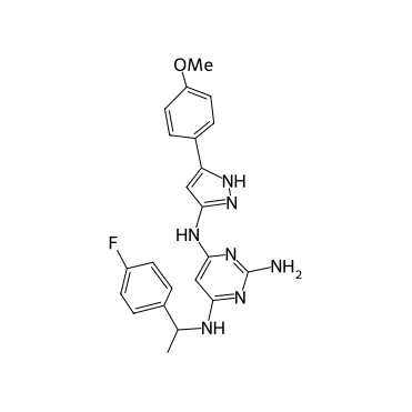 COc1ccc(-c2cc(Nc3cc(NC(C)c4ccc(F)cc4)nc(N)n3)n[nH]2)cc1